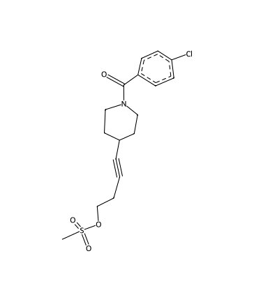 CS(=O)(=O)OCCC#CC1CCN(C(=O)c2ccc(Cl)cc2)CC1